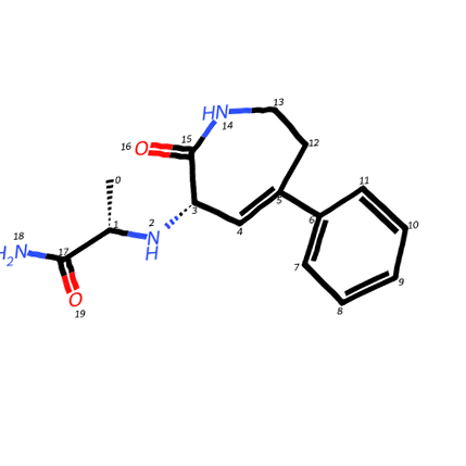 C[C@H](N[C@H]1C=C(c2ccccc2)CCNC1=O)C(N)=O